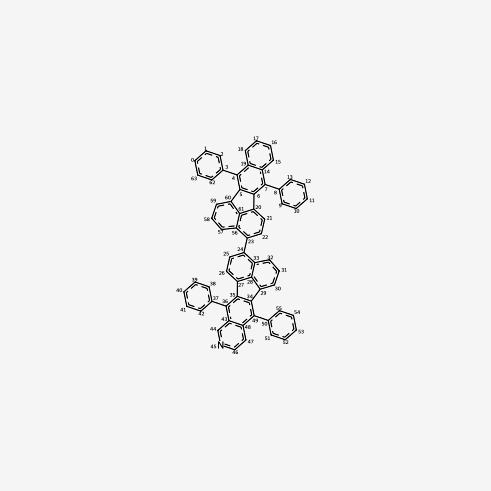 c1ccc(-c2c3c(c(-c4ccccc4)c4ccccc24)-c2ccc(-c4ccc5c6c(cccc46)-c4c-5c(-c5ccccc5)c5cnccc5c4-c4ccccc4)c4cccc-3c24)cc1